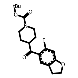 CC(C)(C)OC(=O)N1CCC(C(=O)c2cc3c(cc2F)OCC3)CC1